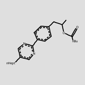 CCCCCCCc1cnc(-c2ccc(CC(C)OC(=O)CCCC)cc2)nc1